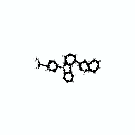 NC(=O)c1ccc(-n2c3ccccc3c3c(-c4cnc5ccccc5c4)cccc32)cn1